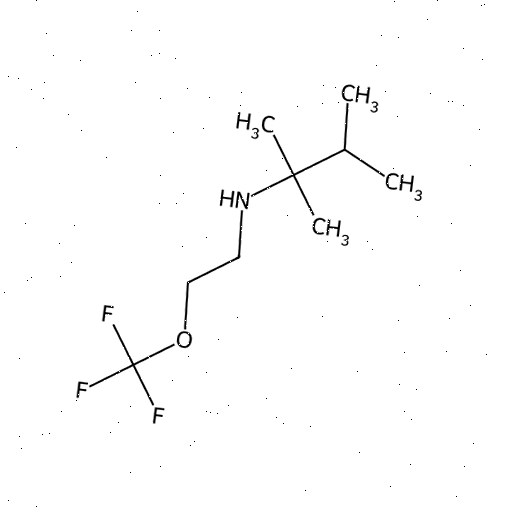 CC(C)C(C)(C)NCCOC(F)(F)F